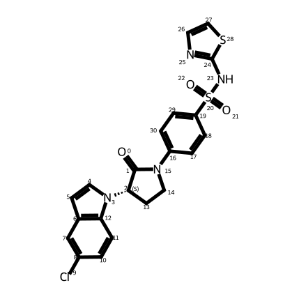 O=C1[C@@H](n2ccc3cc(Cl)ccc32)CCN1c1ccc(S(=O)(=O)Nc2nccs2)cc1